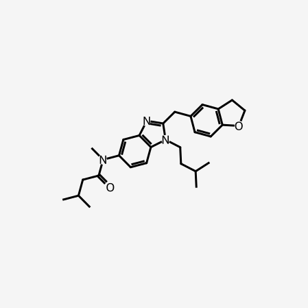 CC(C)CCn1c(Cc2ccc3c(c2)CCO3)nc2cc(N(C)C(=O)CC(C)C)ccc21